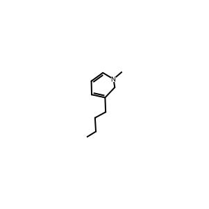 CCCCC1=CC=CN(C)C1